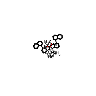 CC[CH2][Zr]([CH3])(=[SiH2])([CH]1C(C(C)(C)C)=C(C)c2c(-c3cccc4ccccc34)cccc21)[CH]1C(C(C)(C)C)=C(C)c2c(-c3cccc4ccccc34)cccc21.Cl.Cl